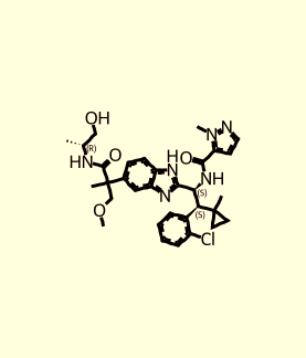 COCC(C)(C(=O)N[C@H](C)CO)c1ccc2[nH]c([C@@H](NC(=O)c3ccnn3C)[C@H](c3ccccc3Cl)C3(C)CC3)nc2c1